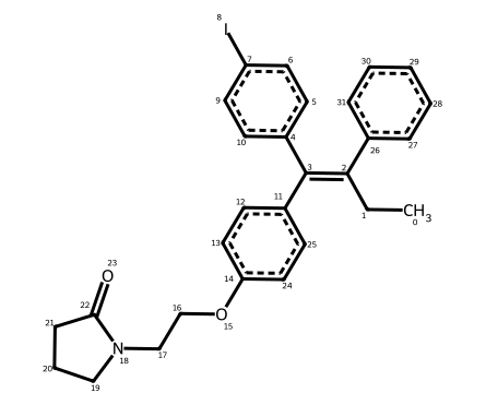 CCC(=C(c1ccc(I)cc1)c1ccc(OCCN2CCCC2=O)cc1)c1ccccc1